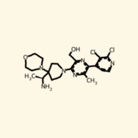 Cc1nc(N2CCC([C@H](C)N)(N3CCOCC3)CC2)c(CO)nc1-c1ccnc(Cl)c1Cl